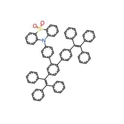 O=S1(=O)c2ccccc2N(c2ccc(-c3cc(C(=C(c4ccccc4)c4ccccc4)c4ccccc4)ccc3-c3ccc(C(=C(c4ccccc4)c4ccccc4)c4ccccc4)cc3)cc2)c2ccccc21